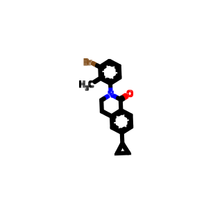 Cc1c(Br)cccc1N1CCc2cc(C3CC3)ccc2C1=O